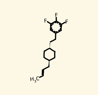 C/C=C/C[C@H]1CC[C@H](CCc2cc(F)c(F)c(F)c2)CC1